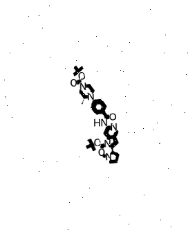 C[C@@H]1CN(C(=O)OC(C)(C)C)CCN1c1ccc(C(=O)Nc2cc3c(cn2)cc([C@H]2CCCN2C)n3C(=O)OC(C)(C)C)cc1